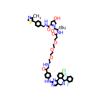 Cc1ncsc1-c1ccc(CNC(=O)[C@@H]2C[C@@H](O)CN2C(=O)[C@@H](NC(=O)CCOCCOCCOCCNCC(=O)c2ccc(Nc3ncc4c(n3)-c3ccc(Cl)cc3C(c3c(F)cccc3F)=NC4)cc2)C(C)(C)C)cc1